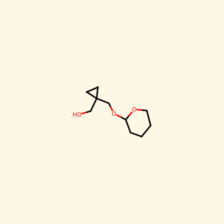 OCC1(COC2CCCCO2)CC1